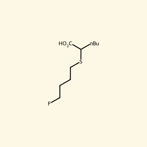 CCCCC(SCCCCF)C(=O)O